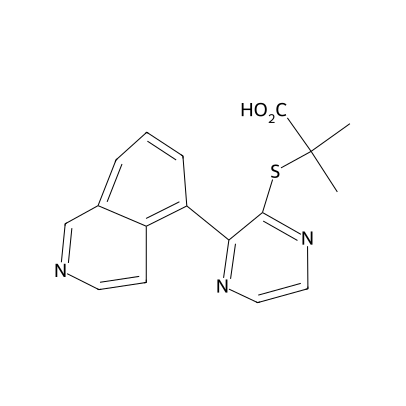 CC(C)(Sc1nccnc1-c1cccc2cnccc12)C(=O)O